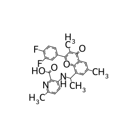 Cc1cc(C(C)Nc2ccc(C)nc2C(=O)O)c2oc(-c3ccc(F)c(F)c3)c(C)c(=O)c2c1